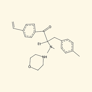 C1COCCN1.C=Cc1ccc(C(=O)C(CC)(Cc2ccc(C)cc2)N(C)C)cc1